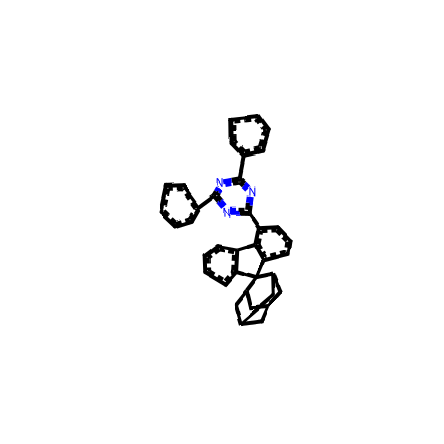 c1ccc(-c2nc(-c3ccccc3)nc(-c3cccc4c3-c3ccccc3C43C4CC5CC(C4)CC3C5)n2)cc1